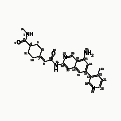 CNC(=O)C1CCC(=CC(=O)Nc2cc3cc(-c4cnccc4C)cc(N)c3cn2)CC1